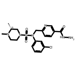 C[C@@H]1CN(S(=O)(=O)N(Cc2ccc(C(=O)NN)cn2)c2cccc(Cl)c2)CCN1C